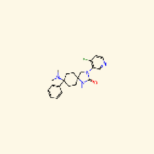 CN(C)[C@]1(c2ccccc2)CC[C@@]2(CC1)CN(c1cnccc1F)C(=O)N2